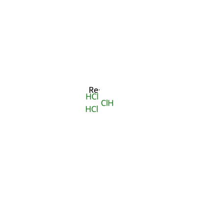 Cl.Cl.Cl.[Re]